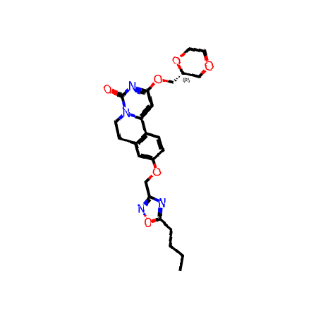 CCCCc1nc(COc2ccc3c(c2)CCn2c-3cc(OC[C@H]3COCCO3)nc2=O)no1